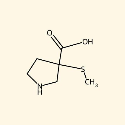 CSC1(C(=O)O)CCNC1